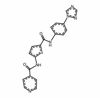 O=C(Nc1ccc(C(=O)Nc2ccc(-n3cncn3)cc2)s1)c1ccncc1